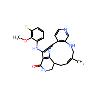 COc1c(F)cccc1Nc1c2[nH]c3c1C(=O)NCC3C/C=C(/C)CNc1cnccc1-2